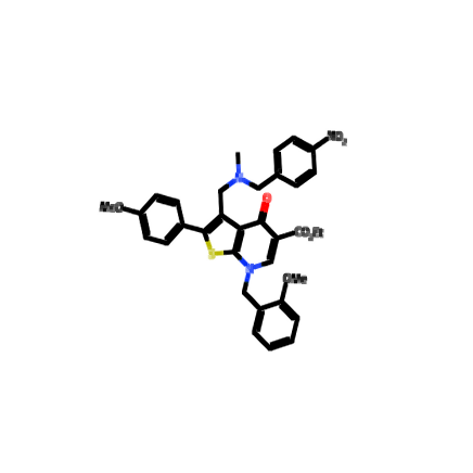 CCOC(=O)c1cn(Cc2ccccc2OC)c2sc(-c3ccc(OC)cc3)c(CN(C)Cc3ccc([N+](=O)[O-])cc3)c2c1=O